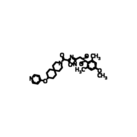 COc1cc(C)c(S(=O)(=O)Cc2noc(C(=O)N3CCC4(CCC(Oc5ccncc5)CC4)CC3)n2)c(C)c1